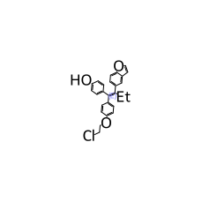 CC/C(=C(/c1ccc(O)cc1)c1ccc(OCCCl)cc1)c1ccc2occc2c1